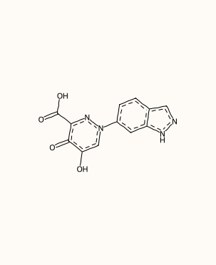 O=C(O)c1nn(-c2ccc3cn[nH]c3c2)cc(O)c1=O